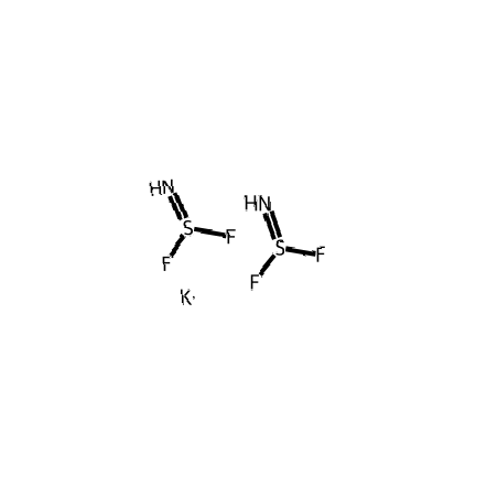 N=S(F)F.N=S(F)F.[K]